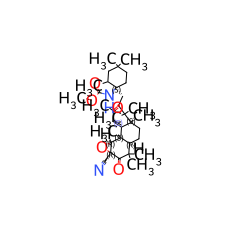 COC(=O)N[C@]1(CCC(C)(C)[C@]2(C)CC[C@H]3C(C)(C)C(=O)[C@]4(C#N)O[C@@H]4[C@]3(C)/C2=C/C(C)=O)CCC(C)(C)CC1C